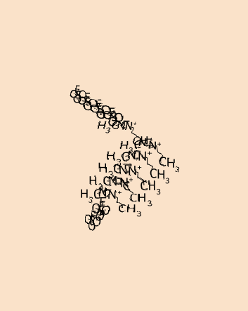 CCCC[n+]1ccn(C)c1.CCCC[n+]1ccn(C)c1.CCCC[n+]1ccn(C)c1.CCCC[n+]1ccn(C)c1.CCCC[n+]1ccn(C)c1.CCCC[n+]1ccn(C)c1.O=S(=O)([O-])F.O=S(=O)([O-])F.O=S(=O)([O-])F.O=S(=O)([O-])F.O=S(=O)([O-])F.O=S(=O)([O-])F